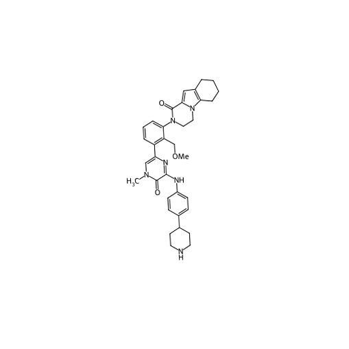 COCc1c(-c2cn(C)c(=O)c(Nc3ccc(C4CCNCC4)cc3)n2)cccc1N1CCn2c(cc3c2CCCC3)C1=O